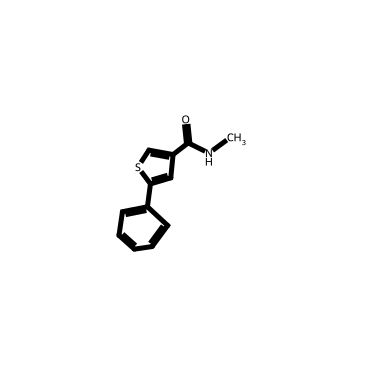 CNC(=O)c1csc(-c2ccccc2)c1